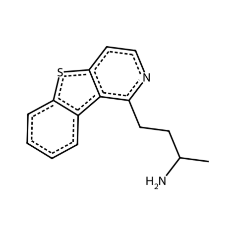 CC(N)CCc1nccc2sc3ccccc3c12